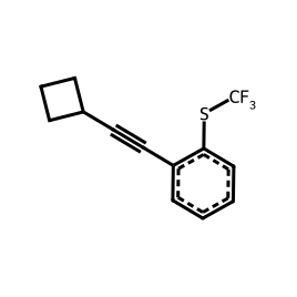 FC(F)(F)Sc1ccccc1C#CC1CCC1